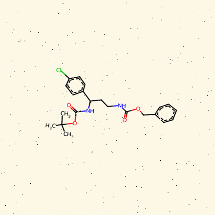 CC(C)(C)OC(=O)NC(CCNC(=O)OCc1ccccc1)c1ccc(Cl)cc1